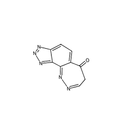 O=C1CC=NN=c2c1ccc1c2=NN=N1